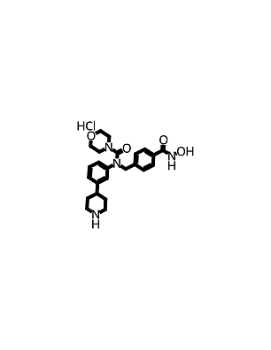 Cl.O=C(NO)c1ccc(CN(C(=O)N2CCOCC2)c2cccc(C3CCNCC3)c2)cc1